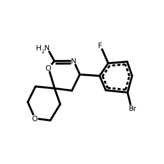 NC1=NC(c2cc(Br)ccc2F)CC2(CCOCC2)O1